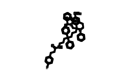 COc1cc2c(cc1OC)C(CCCC(CCCNC(=O)CCc1ccc(F)cc1)(c1ccccc1)c1ccccc1)(CN1C(=O)c3ccccc3C1=O)N(c1ccccc1)CC2